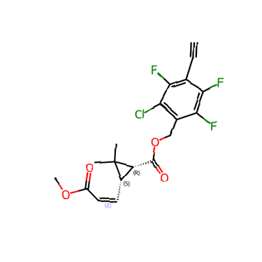 C#Cc1c(F)c(F)c(COC(=O)[C@@H]2[C@H](/C=C\C(=O)OC)C2(C)C)c(Cl)c1F